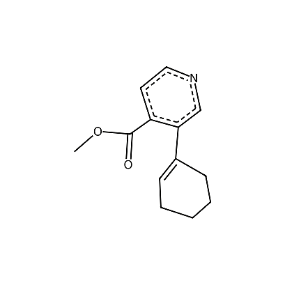 COC(=O)c1ccncc1C1=CCCCC1